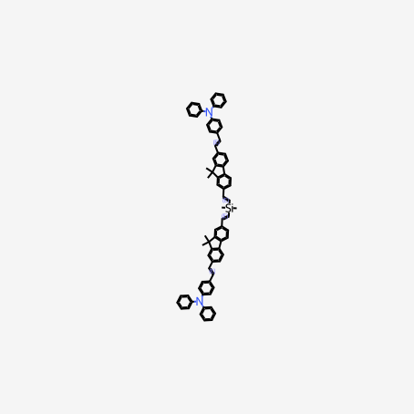 CC1(C)c2cc(/C=C/c3ccc(N(c4ccccc4)c4ccccc4)cc3)ccc2-c2ccc(/C=C/[Si](C)(C)/C=C/c3ccc4c(c3)C(C)(C)c3cc(/C=C/c5ccc(N(c6ccccc6)c6ccccc6)cc5)ccc3-4)cc21